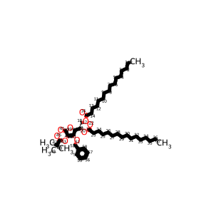 CCCCCCCCCCCCCCCC(=O)OC[C@H](OC(=O)CCCCCCCCCCCCCCC)[C@H]1OC(=O)C(OC(=O)C(C)(C)C)=C1OCc1ccccc1